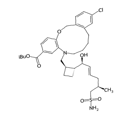 CC(C)COC(=O)c1ccc2c(c1)N(C[C@@H]1CC[C@H]1[C@@H](O)/C=C/C[C@@H](C)CS(N)(=O)=O)CCCCc1cc(Cl)ccc1CO2